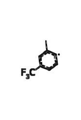 Cc1[c]ccc(C(F)(F)F)c1